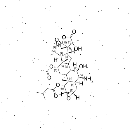 CC(=O)O[C@H]1CC2C([C@@H](O)[C@@H](N)[C@H]3C[C@@H]4O[C@@H]4[C@H](OC(=O)CC(C)C)[C@]23C)[C@@H]2C[C@@H]3[C@H]([C@H](C)[C@H]4O[C@]45OC(=O)[C@@](C)(O)[C@]35C)[C@@]12C